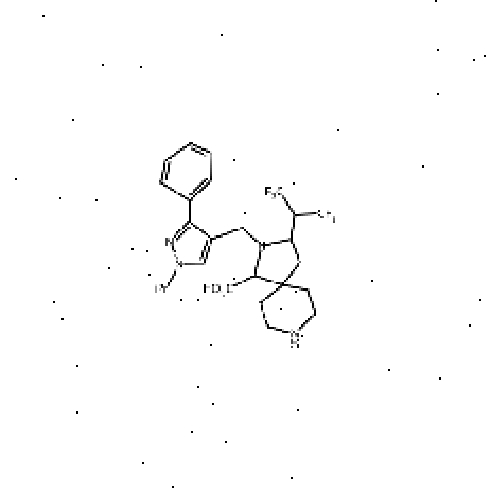 CC(C)n1cc(CN2C(C(C(F)(F)F)C(F)(F)F)CC3(CCNCC3)C2C(=O)O)c(-c2ccccc2)n1